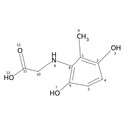 Cc1c(O)ccc(O)c1NCC(=O)O